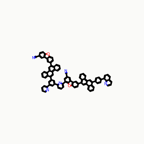 N#Cc1ccc2oc3ccc(-c4cc5c6ccccc6c(-c6cc(-c7ccccn7)cc(-c7cccc(-c8cc(C#N)cc9c8oc8ccc(-c%10cc%11c%12ccccc%12c(-c%12ccc(-c%13cccc%14cccnc%13%14)cc%12)cc%11c%11ccccc%10%11)cc89)n7)c6)cc5c5ccccc45)cc3c2c1